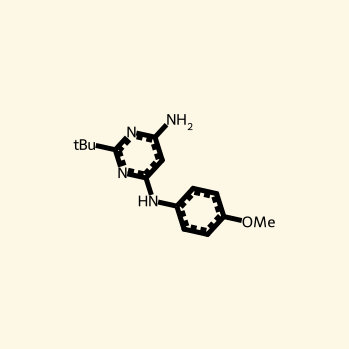 COc1ccc(Nc2cc(N)nc(C(C)(C)C)n2)cc1